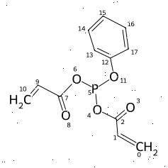 C=CC(=O)OP(OC(=O)C=C)Oc1ccccc1